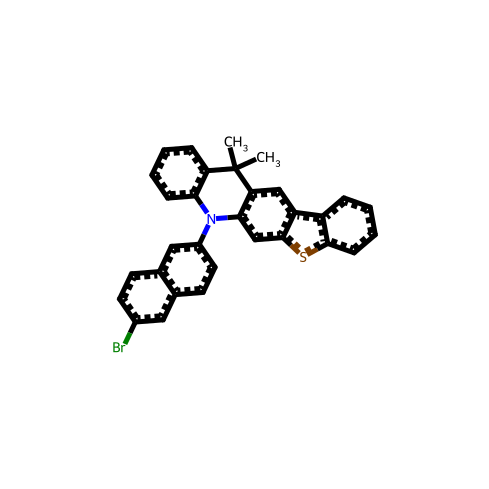 CC1(C)c2ccccc2N(c2ccc3cc(Br)ccc3c2)c2cc3sc4ccccc4c3cc21